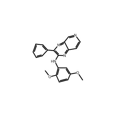 COc1ccc(OC)c(Nc2nc3ccncc3nc2-c2ccccc2)c1